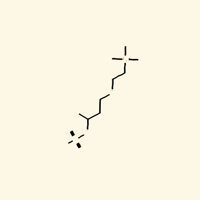 C[N+](C)(C)CCSCCC(F)OS(=O)(=O)[O-]